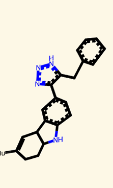 CC(C)(C)C1=CC2c3cc(-c4nn[nH]c4Cc4ccccc4)ccc3NC2CC1